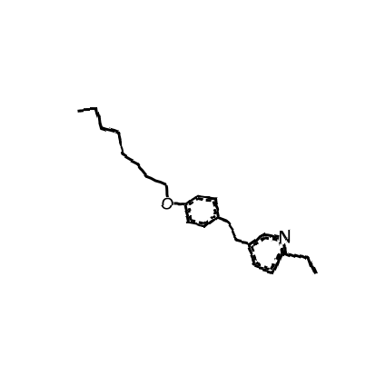 CCCCCCCCOc1ccc(CCc2ccc(CC)nc2)cc1